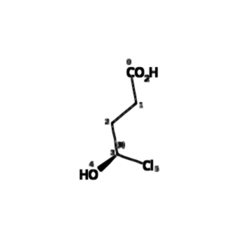 O=C(O)CC[C@H](O)Cl